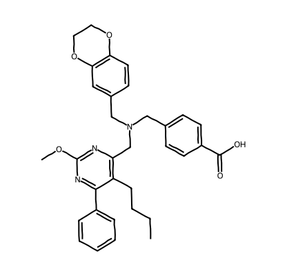 CCCCc1c(CN(Cc2ccc(C(=O)O)cc2)Cc2ccc3c(c2)OCCO3)nc(OC)nc1-c1ccccc1